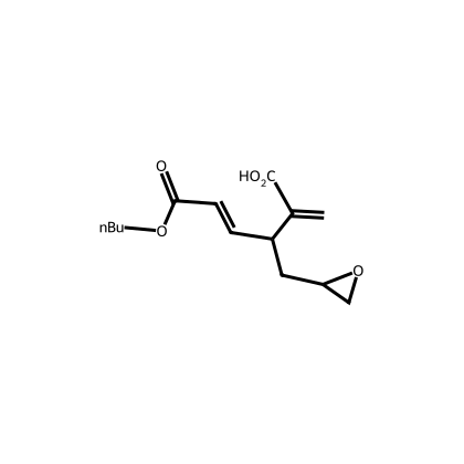 C=C(C(=O)O)C(C=CC(=O)OCCCC)CC1CO1